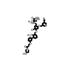 Cc1c(COc2cc(OCc3cncc(C#N)c3)c(CNC(C)(CO)C(=O)O)cc2Cl)cccc1-c1cccc(OCCC(=O)N2CCC(O)C2)c1